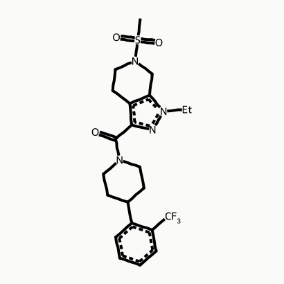 CCn1nc(C(=O)N2CCC(c3ccccc3C(F)(F)F)CC2)c2c1CN(S(C)(=O)=O)CC2